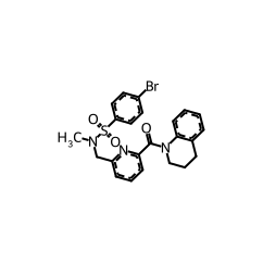 CN(Cc1cccc(C(=O)N2CCCc3ccccc32)n1)S(=O)(=O)c1ccc(Br)cc1